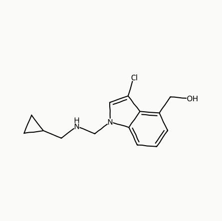 OCc1cccc2c1c(Cl)cn2CNCC1CC1